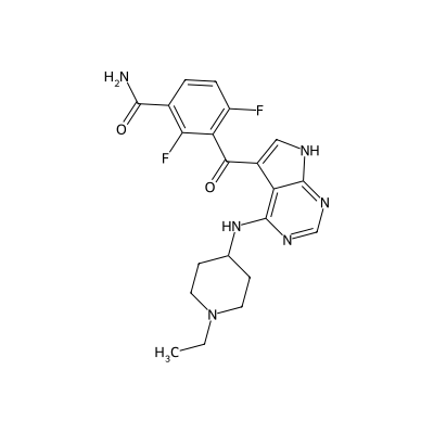 CCN1CCC(Nc2ncnc3[nH]cc(C(=O)c4c(F)ccc(C(N)=O)c4F)c23)CC1